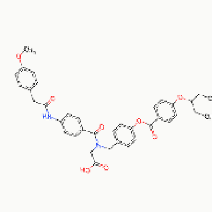 CCC(CC)Oc1ccc(C(=O)Oc2ccc(CN(CC(=O)O)C(=O)c3ccc(NC(=O)Cc4ccc(OC)cc4)cc3)cc2)cc1